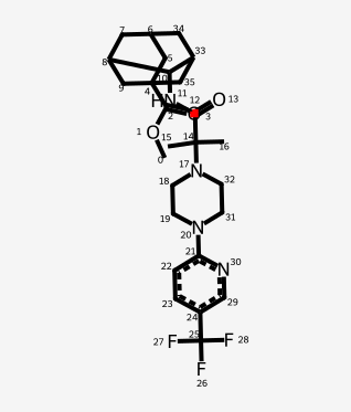 COC(=O)C12CC3CC(C1)C(NC(=O)C(C)(C)N1CCN(c4ccc(C(F)(F)F)cn4)CC1)C(C3)C2